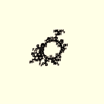 CC(C)C[C@@H](N)C(=O)N[C@@H](CC(C)C)C(=O)N[C@@H]1C(=O)N[C@@H]([C@H](OC(=O)C(F)(F)F)C(C)C)C(=O)N[C@@H](CC(C)C)C(=O)N[C@H](CCCNC(=N)N)C(=O)N[C@@H](C(C)C)C(=O)N[C@@H]([C@H](C)O)C(=O)NCC(=O)N[C@@H]([C@H](O)C(N)=O)C(=O)N[C@@H](COC(=O)C(F)(F)F)C(=O)O[C@@H]1c1ccccc1